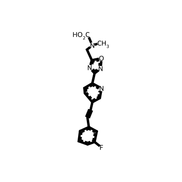 CN(Cc1nc(-c2ccc(C#Cc3cccc(F)c3)cn2)no1)C(=O)O